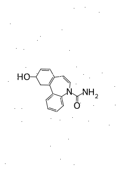 NC(=O)N1C=CC2=C(CC(O)C=C2)c2ccccc21